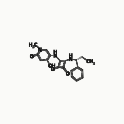 CC[C@@H](Nc1c(Nc2cn(C)c(=O)cc2O)c(=O)c1=O)c1ccccc1